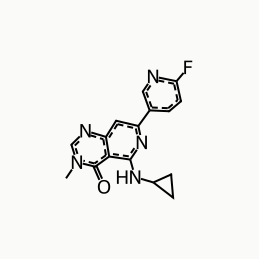 Cn1cnc2cc(-c3ccc(F)nc3)nc(NC3CC3)c2c1=O